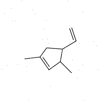 C=CC1CC(C)=CC1C